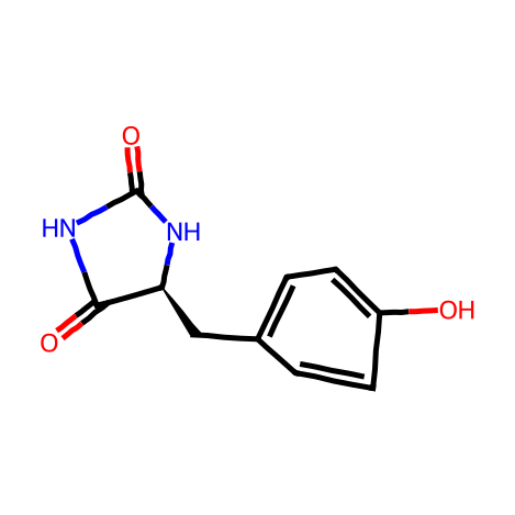 O=C1NC(=O)[C@H](Cc2ccc(O)cc2)N1